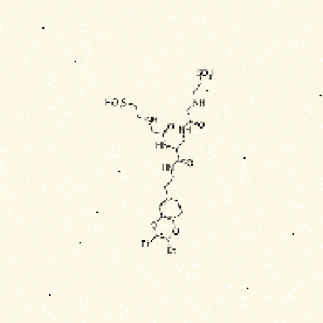 CCC1Oc2ccc(CCNC(=O)C(CNC(=O)CNCCS(=O)(=O)O)NC(=O)CNCCS(=O)(=O)O)cc2OC1CC